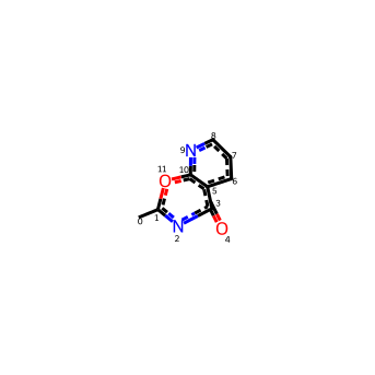 Cc1nc(=O)c2cccnc2o1